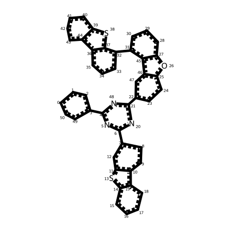 c1ccc(-c2nc(-c3ccc4c(c3)sc3ccccc34)nc(-c3ccc4oc5cccc(-c6cccc7c6sc6ccccc67)c5c4c3)n2)cc1